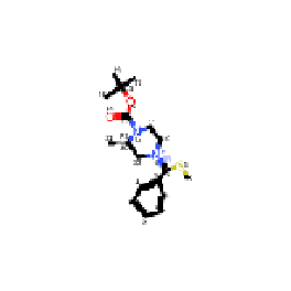 CS/C(c1ccccc1)=[N+]1\CCN(C(=O)OC(C)(C)C)[C@H](C)C1